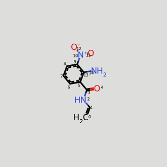 C=CNC(=O)c1cccc([N+](=O)[O-])c1N